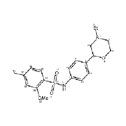 CCN1CCOC(c2ccc(NS(=O)(=O)c3ccc(C)cc3OC)cc2)C1